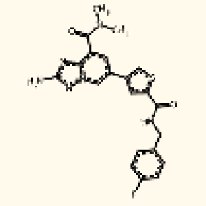 CN(C)C(=O)c1cc(-c2csc(C(=O)NCc3ccc(F)cc3)c2)cn2nc(N)nc12